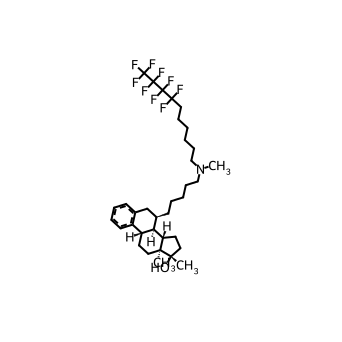 CN(CCCCCCC(F)(F)C(F)(F)C(F)(F)C(F)(F)F)CCCCC[C@@H]1Cc2ccccc2[C@H]2CC[C@@]3(C)[C@@H](CC[C@]3(C)O)[C@H]12